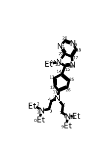 CCN(CC)CCN(CCN(CC)CC)c1ccc(-c2nc3cncnc3n2CC)cc1